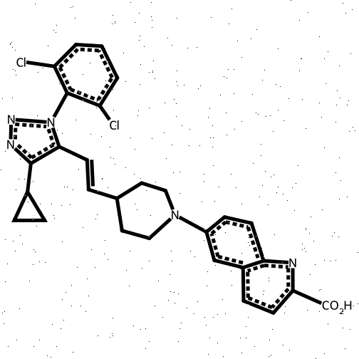 O=C(O)c1ccc2cc(N3CCC(/C=C/c4c(C5CC5)nnn4-c4c(Cl)cccc4Cl)CC3)ccc2n1